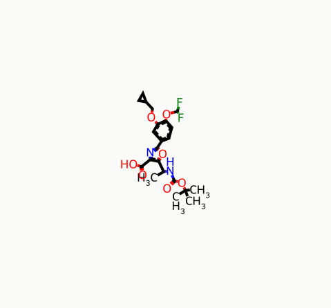 CC(NC(=O)OC(C)(C)C)c1oc(-c2ccc(OC(F)F)c(OCC3CC3)c2)nc1C(=O)O